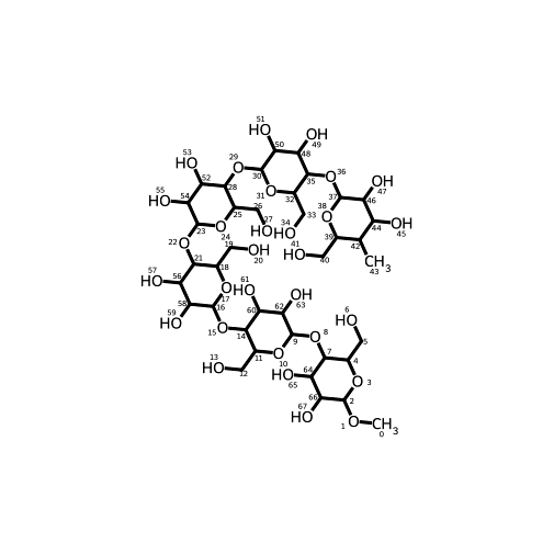 COC1OC(CO)C(OC2OC(CO)C(OC3OC(CO)C(OC4OC(CO)C(OC5OC(CO)C(OC6OC(CO)C(C)C(O)C6O)C(O)C5O)C(O)C4O)C(O)C3O)C(O)C2O)C(O)C1O